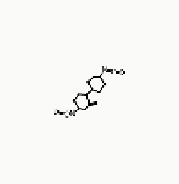 C=C1CC(N=C=O)CCC1C1CCC(N=C=O)CC1